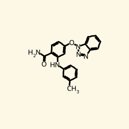 Cc1cccc(Nc2cc(On3nnc4ccccc43)ccc2C(N)=O)c1